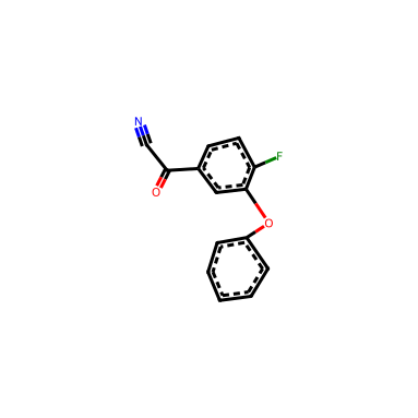 N#CC(=O)c1ccc(F)c(Oc2ccccc2)c1